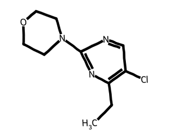 CCc1nc(N2CCOCC2)ncc1Cl